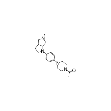 CC(=O)N1CCN(c2ccc(N3CCC4CN(C)CC43)cc2)CC1